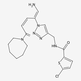 C=C(/C=C\C(=C/N)n1cc(CNC(=O)c2ccc(Cl)s2)nn1)N1CCCCCC1